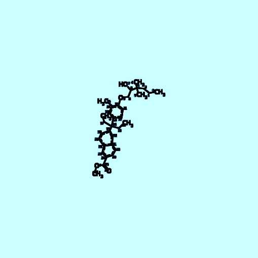 CCCC(C)(C)C(O)COc1ccc(C(CC)(CC)c2ccc3cc(C(=O)OC)ccc3c2)cc1C